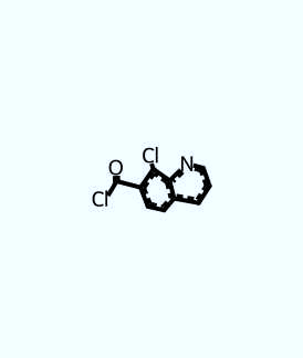 O=C(Cl)c1ccc2cccnc2c1Cl